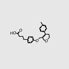 Cc1ccc(C2=C(COc3ccc(CCCC(=O)O)cc3)COCC2)cc1